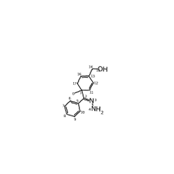 CC1(/C(=N/N)c2ccccc2)C=CC(CO)=CC1